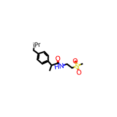 CC(C)Cc1ccc(C(C)C(=O)NCCS(C)(=O)=O)cc1